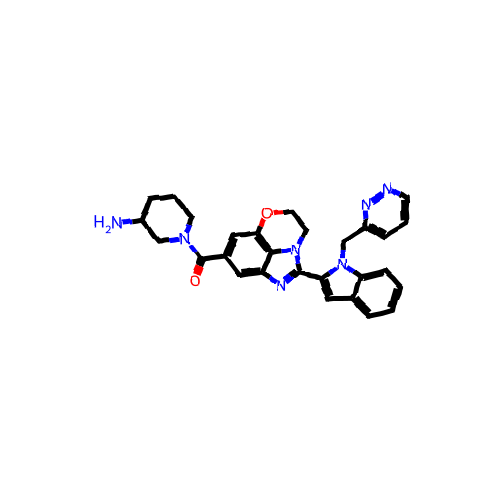 NC1CCCN(C(=O)c2cc3c4c(c2)nc(-c2cc5ccccc5n2Cc2cccnn2)n4CCO3)C1